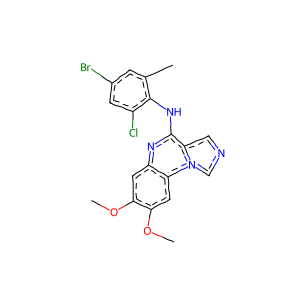 COc1cc2nc(Nc3c(C)cc(Br)cc3Cl)c3cncn3c2cc1OC